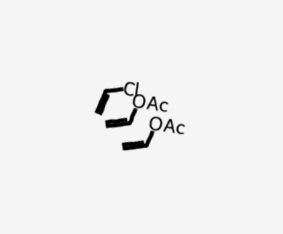 C=CCl.C=COC(C)=O.C=COC(C)=O